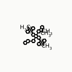 CN1c2ccccc2N(c2ccc3c(-c4ccc5c(c4)C(C)(C)c4ccccc4-5)c4cc(N5c6ccccc6N(C)c6ccccc65)ccc4c(-c4cccc(-c5ccc6ccccc6c5)c4)c3c2)c2ccccc21